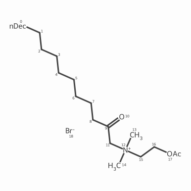 CCCCCCCCCCCCCCCCCCC(=O)C[N+](C)(C)CCOC(C)=O.[Br-]